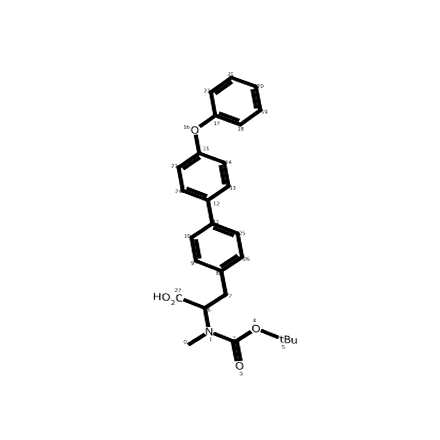 CN(C(=O)OC(C)(C)C)C(Cc1ccc(-c2ccc(Oc3ccccc3)cc2)cc1)C(=O)O